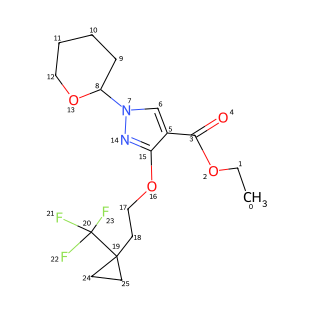 CCOC(=O)c1cn(C2CCCCO2)nc1OCCC1(C(F)(F)F)CC1